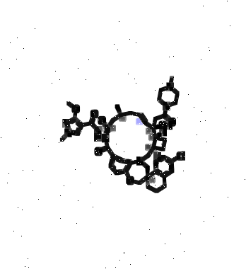 COc1nn(C)cc1C(=O)N[S@@]1(=O)=NC(=O)c2ccc3c(c2)N(C[C@@H]2CC[C@H]2[C@@](O)(CC(=O)N2CCN(C)CC2)/C=C/C[C@H](C)C1)C[C@@]1(CCCc2cc(Cl)ccc21)CO3